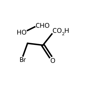 O=C(O)C(=O)CBr.O=CO